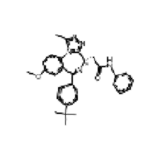 COc1ccc2c(c1)C(c1ccc(C(C)(C)C)cc1)=N[C@@H](CC(=O)Nc1ccccc1)c1nnc(C)n1-2